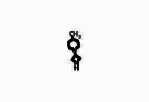 CC1CCN(C2CNC2)CC1